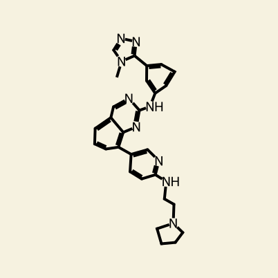 Cn1cnnc1-c1cccc(Nc2ncc3cccc(-c4ccc(NCCN5CCCC5)nc4)c3n2)c1